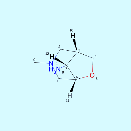 CN1C[C@@H]2CO[C@H](C1)[C@@H]2N